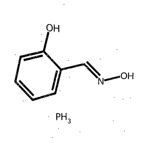 ON=Cc1ccccc1O.P